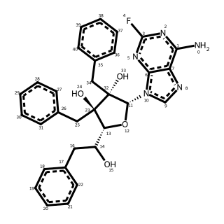 Nc1nc(F)nc2c1ncn2[C@@H]1O[C@H](C(O)Cc2ccccc2)[C@](O)(Cc2ccccc2)[C@@]1(O)Cc1ccccc1